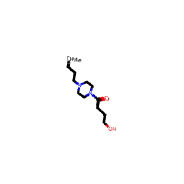 COCCCN1CCN(C(=O)CCCO)CC1